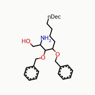 CCCCCCCCCCCCCCC(OCc1ccccc1)C(OCc1ccccc1)C(N)CO